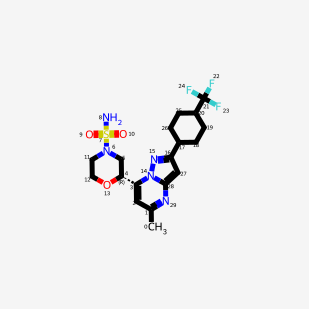 Cc1cc([C@H]2CN(S(N)(=O)=O)CCO2)n2nc(C3CCC(C(F)(F)F)CC3)cc2n1